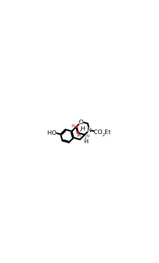 CCOC(=O)N1CO[C@@]23CCCC[C@@H]2[C@@H]1Cc1ccc(O)cc13